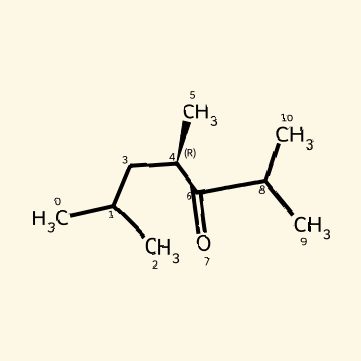 CC(C)C[C@@H](C)C(=O)C(C)C